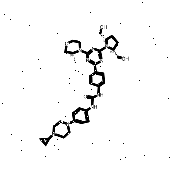 C[C@@H]1COCCN1c1nc(-c2ccc(NC(=O)Nc3ccc(N4CCN(C5CC5)CC4)cc3)cc2)nc(N2[C@H](CO)CC[C@@H]2CO)n1